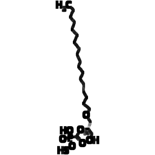 CCCCCCCCCCCCCCCCCCOC[C@H](CO)OC(=O)P(=O)(O)OS